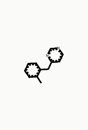 Cc1ccccc1Cc1ccncn1